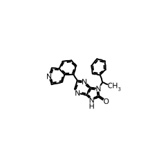 CC(c1ccccc1)n1c(=O)[nH]c2ncc(-c3cccc4cnccc34)nc21